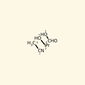 CC#N.CC(C)O.O=CO